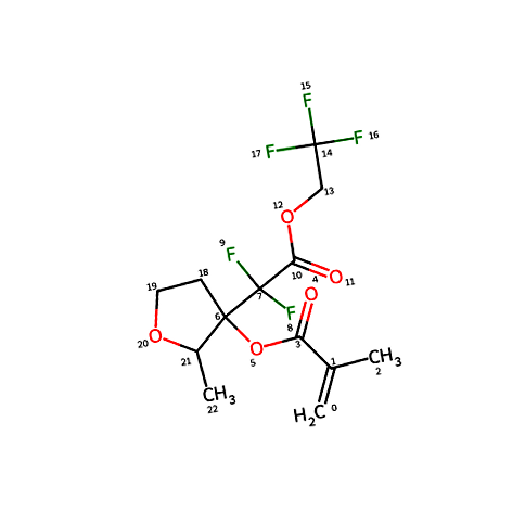 C=C(C)C(=O)OC1(C(F)(F)C(=O)OCC(F)(F)F)CCOC1C